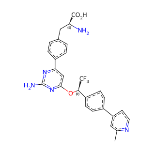 Cc1cc(-c2ccc([C@@H](Oc3cc(-c4ccc(C[C@H](N)C(=O)O)cc4)nc(N)n3)C(F)(F)F)cc2)ccn1